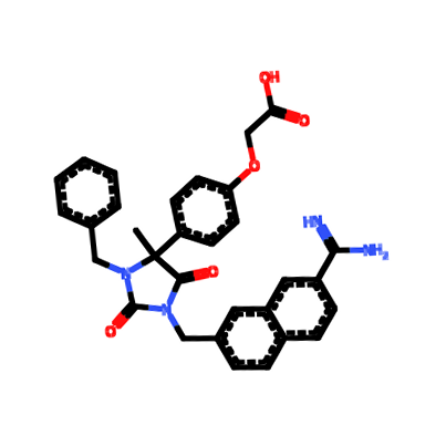 CC1(c2ccc(OCC(=O)O)cc2)C(=O)N(Cc2ccc3ccc(C(=N)N)cc3c2)C(=O)N1Cc1ccccc1